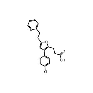 O=C(O)CCc1oc(SCc2ccccn2)nc1-c1ccc(Cl)cc1